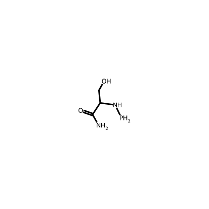 NC(=O)C(CO)NP